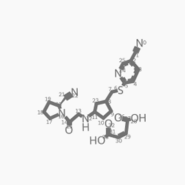 N#Cc1ccc(SCC2CCC(NCC(=O)N3CCC[C@H]3C#N)C2)nc1.O=C(O)/C=C\C(=O)O